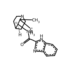 CC1(C)[C@@H](NC(=O)c2nc3ccccc3[nH]2)C2CCN1CC2